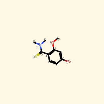 COc1cc(Br)ccc1C(=S)N(C)C